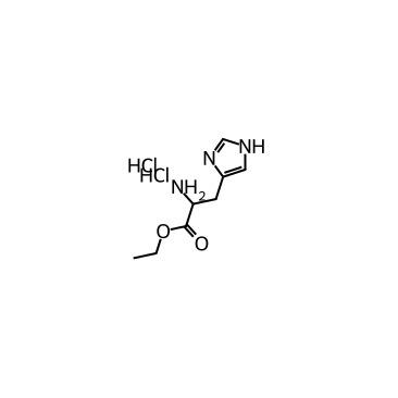 CCOC(=O)C(N)Cc1c[nH]cn1.Cl.Cl